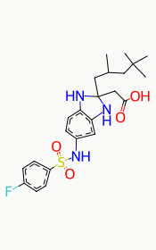 CC(CC(C)(C)C)CC1(CC(=O)O)Nc2ccc(NS(=O)(=O)c3ccc(F)cc3)cc2N1